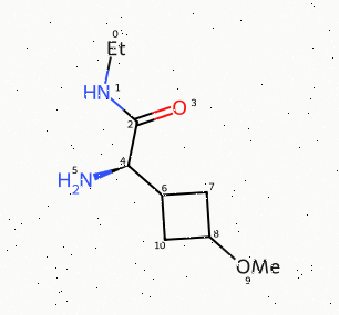 CCNC(=O)[C@H](N)C1CC(OC)C1